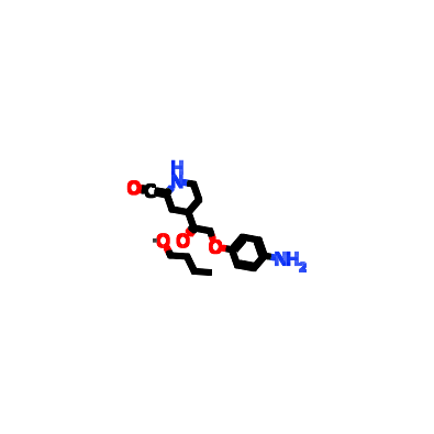 CCCC[O].Nc1ccc(OCC(=O)C2CCNC(=C=O)C2)cc1